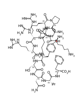 CC(C)[C@H](NC(=O)[C@H](CC(N)=O)NC(=O)[C@H](CO)NC(=O)[C@H](Cc1ccc(O)cc1)NC(=O)[C@H](CCCNC(=N)N)NC(=O)[C@H](CCCNC(=N)N)NC(=O)[C@H](CCC(N)=O)NC(=O)[C@@H]1CCCN1C(=O)[C@H](CCCNC(=N)N)NC(=O)[C@H](CCCCN)NC(=O)[C@@H](N)CCCCN)C(=O)N[C@@H](Cc1ccccc1)C(=O)O